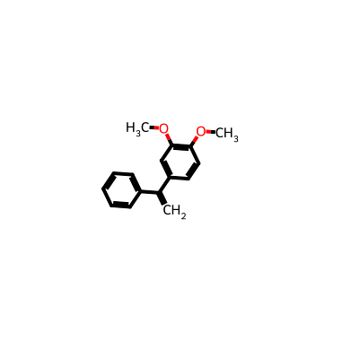 C=C(c1ccccc1)c1ccc(OC)c(OC)c1